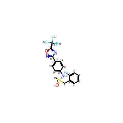 CS(=O)(Cc1ccccc1F)=Nc1ccc(-c2noc(C(F)(F)F)n2)cc1